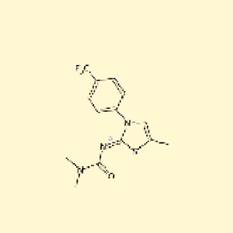 Cc1cn(-c2ccc(C(F)(F)F)cc2)/c(=N/C(=O)N(C)C)s1